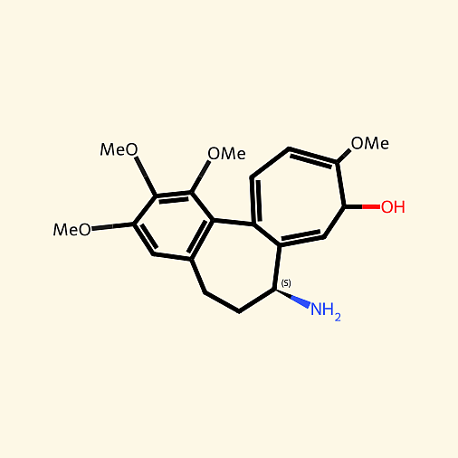 COC1=CC=C2C(=CC1O)[C@@H](N)CCc1cc(OC)c(OC)c(OC)c12